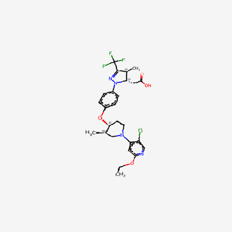 CCOc1cc(N2CC[C@H](Oc3ccc(N4N=C(C(F)(F)F)[C@@H](C)[C@@H]4CC(=O)O)cc3)[C@H](C)C2)c(Cl)cn1